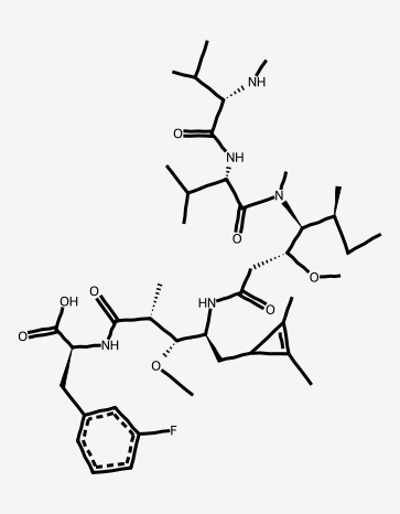 CC[C@H](C)[C@@H]([C@@H](CC(=O)N[C@@H](CC1C(C)=C1C)[C@H](OC)[C@@H](C)C(=O)N[C@@H](Cc1cccc(F)c1)C(=O)O)OC)N(C)C(=O)[C@@H](NC(=O)[C@@H](NC)C(C)C)C(C)C